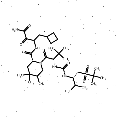 CC(C)[C@@H](CS(=O)(=O)C(C)(C)C)NC(=O)N[C@H](C(=O)N1CC(C)C(C)(C)C[C@H]1C(=O)NC(CC1CCC1)C(=O)C(N)=O)C(C)(C)C